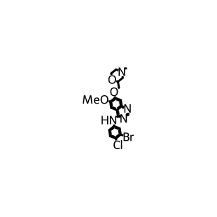 COc1cc2c(Nc3ccc(Cl)c(Br)c3)ncnc2cc1OCC1CN(C)CCO1